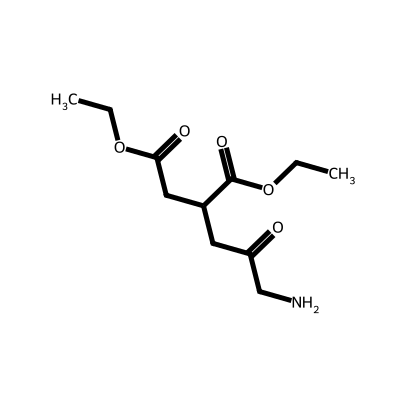 CCOC(=O)CC(CC(=O)CN)C(=O)OCC